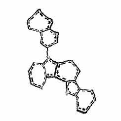 c1ccc2cc(-n3c4cccnc4c4c5sc6ccccc6c5ccc43)ccc2c1